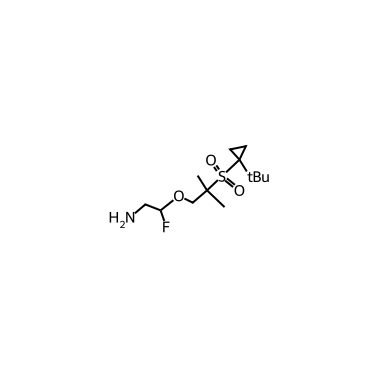 CC(C)(C)C1(S(=O)(=O)C(C)(C)COC(F)CN)CC1